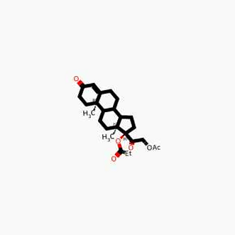 CCC(=O)O[C@]1(C(=O)COC(C)=O)CCC2C3CCC4=CC(=O)CC[C@]4(C)C3CC[C@@]21C